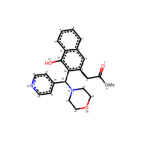 COC(=O)Cc1cc2ccccc2c(O)c1C(c1ccncc1)N1CCOCC1